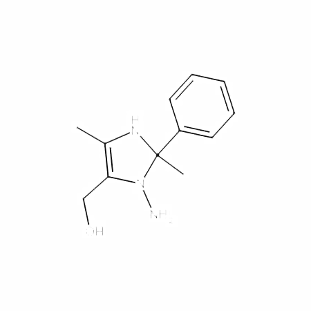 CC1=C(CO)N(N)C(C)(c2ccccc2)N1